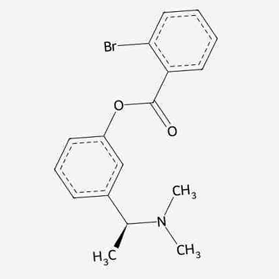 C[C@@H](c1cccc(OC(=O)c2ccccc2Br)c1)N(C)C